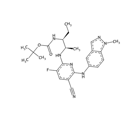 CC[C@H](NC(=O)OC(C)(C)C)[C@@H](C)Nc1nc(Nc2ccc3c(cnn3C)c2)c(C#N)cc1F